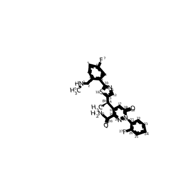 CNCc1ccc(F)cc1-c1ncc([C@H](C)c2cc(=O)n(-c3ccccc3F)nc2C(N)=O)s1